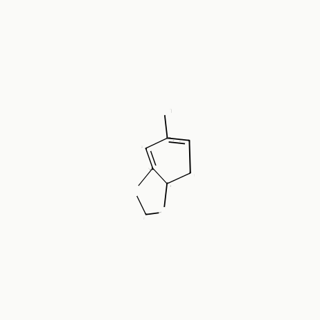 CC(C)C1=CCC2OCOC2=C1